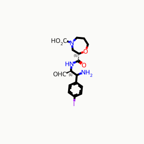 NC(c1ccc(I)cc1)[C@@H](C=O)NC(=O)[C@@H]1CN(C(=O)O)CCCO1